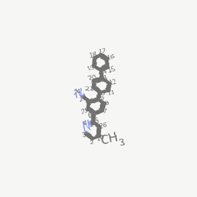 Cc1ccnc(-c2ccc(-c3ccc(-c4ccccc4)cc3)c(C#N)c2)c1